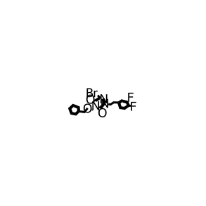 O=c1c(Br)nn(CCc2ccc(F)c(F)c2)c(=O)n1COCc1ccccc1